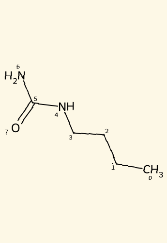 C[CH]CCNC(N)=O